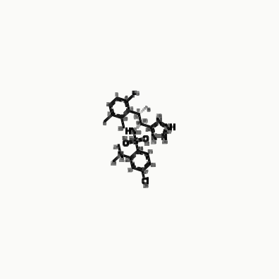 Cc1ccc(F)c([C@H](C)[C@@H](NS(=O)(=O)c2ccc(Cl)cc2N(C)C)c2nn[nH]n2)c1C